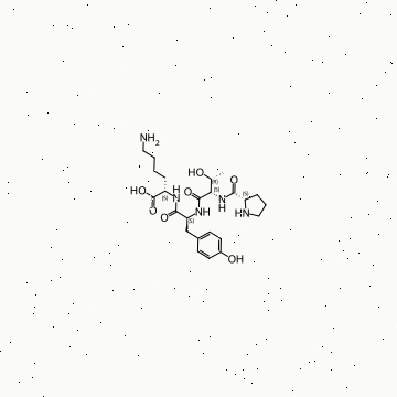 C[C@@H](O)[C@H](NC(=O)[C@@H]1CCCN1)C(=O)N[C@@H](Cc1ccc(O)cc1)C(=O)N[C@@H](CCCCN)C(=O)O